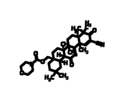 CC1(C)CC[C@]2(COC(=O)N3CCOCC3)CC[C@]3(C)[C@H](C(=O)C=C4[C@@]5(C)C=C(C#N)C(=O)C(C)(C)[C@@H]5CC[C@]43C)[C@@H]2C1